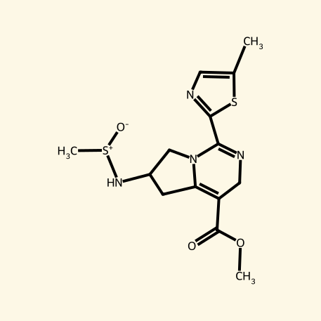 COC(=O)C1=C2CC(N[S+](C)[O-])CN2C(c2ncc(C)s2)=NC1